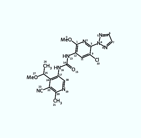 COc1nc(-n2nccn2)c(Cl)cc1NC(=O)Nc1cnc(C)c(C#N)c1C(C)OC